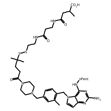 CCCCCNc1nc(N)nc2ccn(Cc3ccc(CN4CCN(C(=O)CCC(C)(C)SSCCNC(=O)CCNC(=O)CC(C)C(=O)O)CC4)cc3C)c12